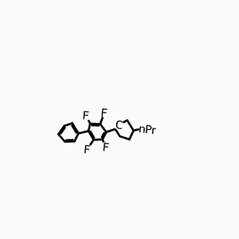 CCCC1CCC(c2c(F)c(F)c(-c3ccccc3)c(F)c2F)CC1